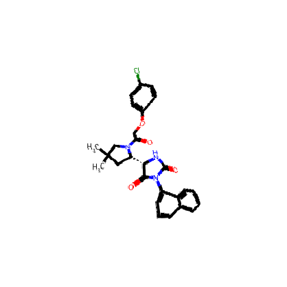 CC1(C)CC([C@@H]2NC(=O)N(c3cccc4ccccc34)C2=O)N(C(=O)COc2ccc(Cl)cc2)C1